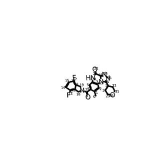 Cc1cc2c(cc1C(=O)N1Cc3c(F)ccc(F)c3C1)[nH]c(=O)c1nnc(C3CCOCC3)n12